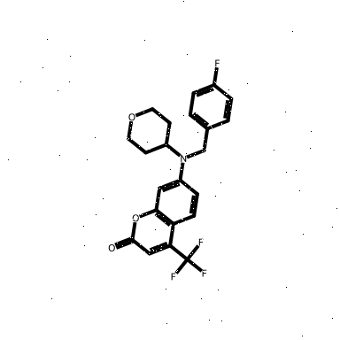 O=c1cc(C(F)(F)F)c2ccc(N(Cc3ccc(F)cc3)C3CCOCC3)cc2o1